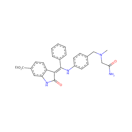 CCOC(=O)c1ccc2c(c1)NC(=O)/C2=C(\Nc1ccc(CN(C)CC(N)=O)cc1)c1ccccc1